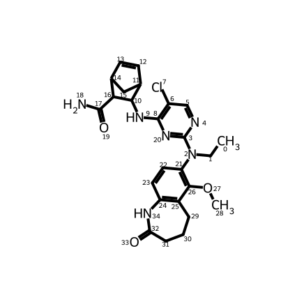 CCN(c1ncc(Cl)c(NC2C3C=CC(C3)C2C(N)=O)n1)c1ccc2c(c1OC)CCCC(=O)N2